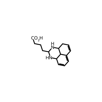 O=C(O)CCCC1NC2C=CC=C3C=CCC(N1)C32